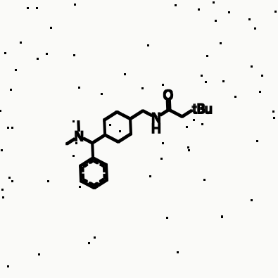 CN(C)C(c1ccccc1)C1CCC(CNC(=O)CC(C)(C)C)CC1